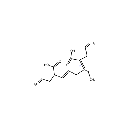 C=CC/C(C(=O)O)=C(\CC)CC=CC(CC=C)C(=O)O